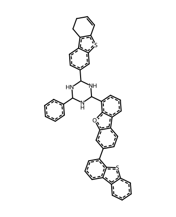 C1=Cc2sc3cc(C4NC(c5ccccc5)NC(c5cccc6c5oc5cc(-c7cccc8c7sc7ccccc78)ccc56)N4)ccc3c2CC1